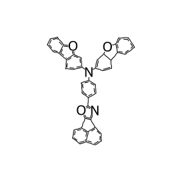 C1=CC2c3ccccc3OC2C=C1N(c1ccc(-c2nc3c(o2)-c2cccc4cccc-3c24)cc1)c1ccc2c(c1)oc1ccccc12